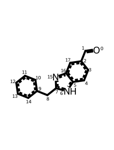 O=Cc1ccc2[nH]c(Cc3ccccc3)nc2c1